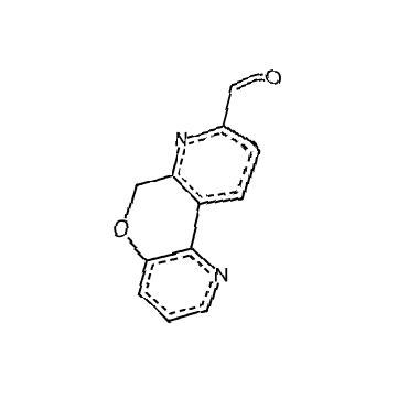 O=Cc1ccc2c(n1)COc1cccnc1-2